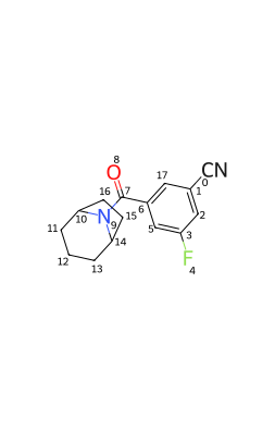 N#Cc1cc(F)cc(C(=O)N2C3CCCC2CC3)c1